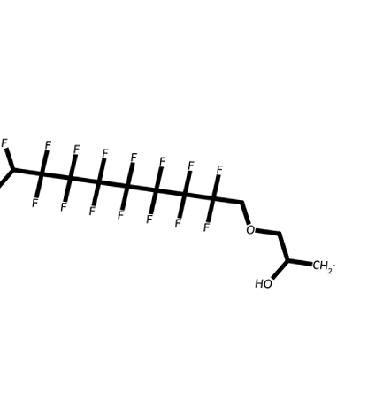 [CH2]C(O)COCC(F)(F)C(F)(F)C(F)(F)C(F)(F)C(F)(F)C(F)(F)C(F)(F)C(F)F